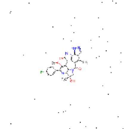 CCOc1c(CC(N)=O)cc([C@@](O)(CNC(=O)c2ccc3[nH]ncc3c2C)C(F)(F)F)nc1-c1ccc(F)cc1